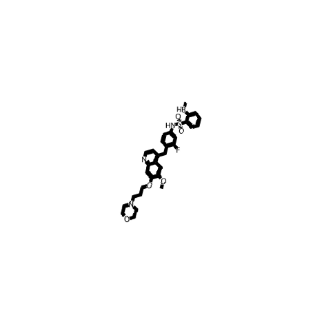 CBc1ccccc1S(=O)(=O)Nc1ccc(Cc2ccnc3cc(OCCCN4CCOCC4)c(OC)cc23)c(F)c1